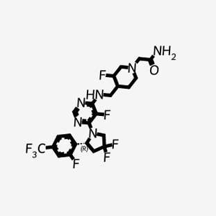 NC(=O)CN1CCC(CNc2ncnc(N3CC(F)(F)C[C@@H]3c3ccc(C(F)(F)F)cc3F)c2F)C(F)C1